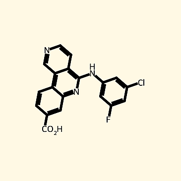 O=C(O)c1ccc2c(c1)nc(Nc1cc(F)cc(Cl)c1)c1ccncc12